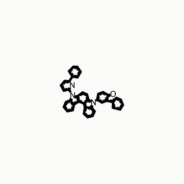 c1ccc(-c2cccc(-n3c4ccccc4c4c5c6ccccc6n(-c6ccc7oc8ccccc8c7c6)c5ccc43)n2)cc1